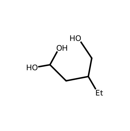 CCC(CO)CC(O)O